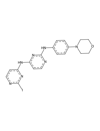 Ic1nccc(Nc2ccnc(Nc3ccc(N4CCOCC4)cc3)n2)n1